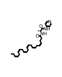 CC/C=C\C/C=C\C/C=C\C/C=C\C/C=C\C/C=C\CCC(=O)N[C@@H](C)C(=O)Nc1ccncc1